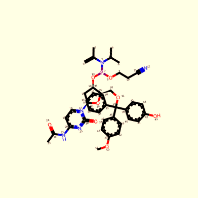 C=C(C)N(C(C)C)P(OCCC#N)O[C@@H]1C[C@H](n2ccc(NC(C)=O)nc2=O)O[C@@H]1COC(c1ccccc1)(c1ccc(O)cc1)c1ccc(OC)cc1